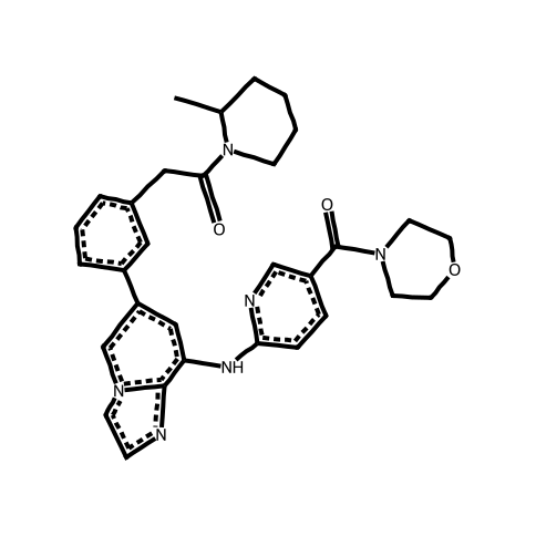 CC1CCCCN1C(=O)Cc1cccc(-c2cc(Nc3ccc(C(=O)N4CCOCC4)cn3)c3nccn3c2)c1